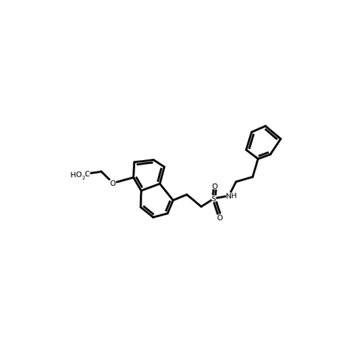 O=C(O)COc1cccc2c(CCS(=O)(=O)NCCc3ccccc3)cccc12